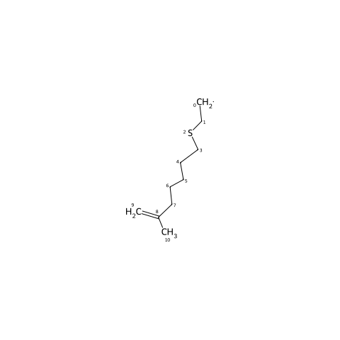 [CH2]CSCCCCCC(=C)C